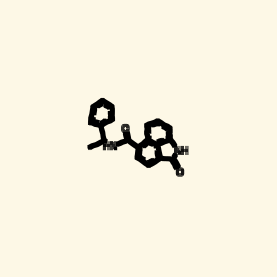 CC(NC(=O)c1ccc2c3c(cccc13)NC2=O)c1ccccc1